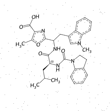 Cc1oc(C(Cc2cn(C)c3ccccc23)NC(=O)[C@H](CC(C)C)NC(=O)N2CCc3ccccc32)nc1C(=O)O